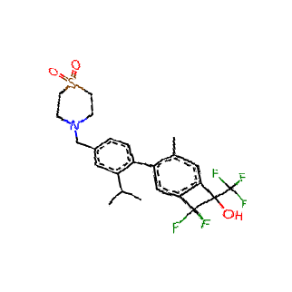 Cc1cc2c(cc1-c1ccc(CN3CCS(=O)(=O)CC3)cc1C(C)C)C(F)(F)C2(O)C(F)(F)F